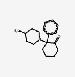 CC1CCN(C2(c3ccccc3)CCCCC2=O)CC1